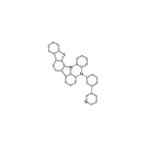 c1cncc(-c2cccc(N3c4ccccc4-n4c5c3cccc5c3ccc5c6ccccc6sc5c34)c2)c1